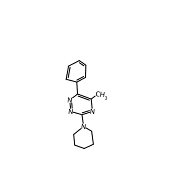 Cc1nc(N2CCCCC2)nnc1-c1ccccc1